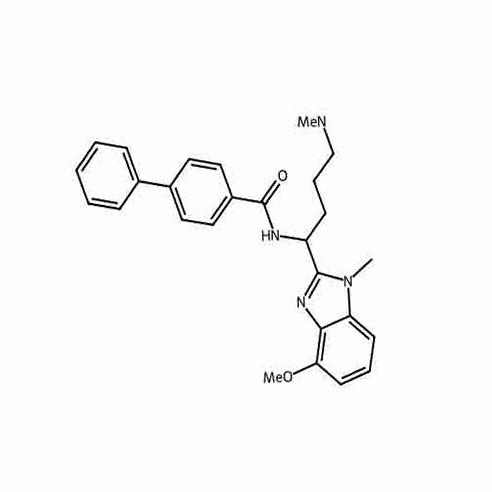 CNCCCC(NC(=O)c1ccc(-c2ccccc2)cc1)c1nc2c(OC)cccc2n1C